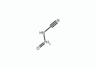 N#CN[PH2]=O